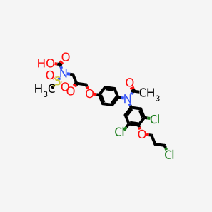 CC(=O)N(c1ccc(OCC(=O)CN(C(=O)O)S(C)(=O)=O)cc1)c1cc(Cl)c(OCCCCl)c(Cl)c1